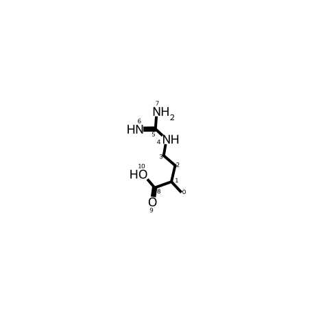 CC(CCNC(=N)N)C(=O)O